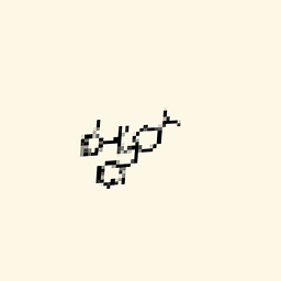 CC(C)N1CCC(Cc2ccccn2)(NC(=O)c2cncn2C)CC1